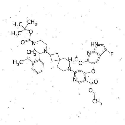 CCOC(=O)c1cnc(N2CCC3(CC2)CC(N2CCN(C(=O)OC(C)(C)C)CC2c2ccccc2C(C)C)C3)cc1Oc1cc2c(F)c[nH]c2nc1OC